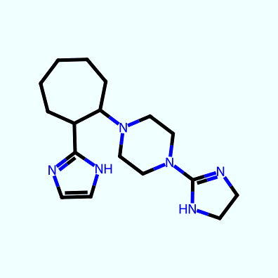 c1c[nH]c(C2CCCCCC2N2CCN(C3=NCCN3)CC2)n1